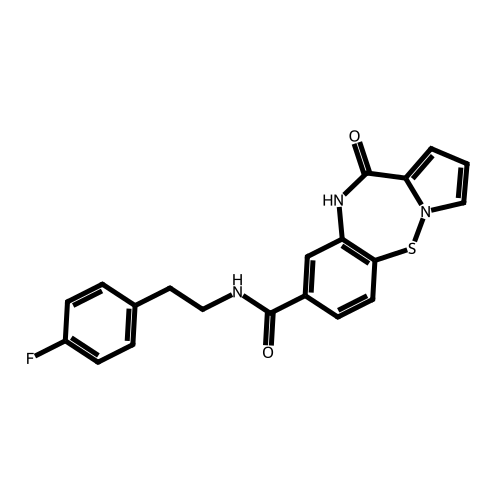 O=C(NCCc1ccc(F)cc1)c1ccc2c(c1)NC(=O)c1cccn1S2